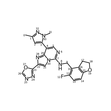 Cc1cc(-c2cnc(NCc3c(F)ccc4c3CCO4)n3cc(-c4nnco4)nc23)n(C)n1